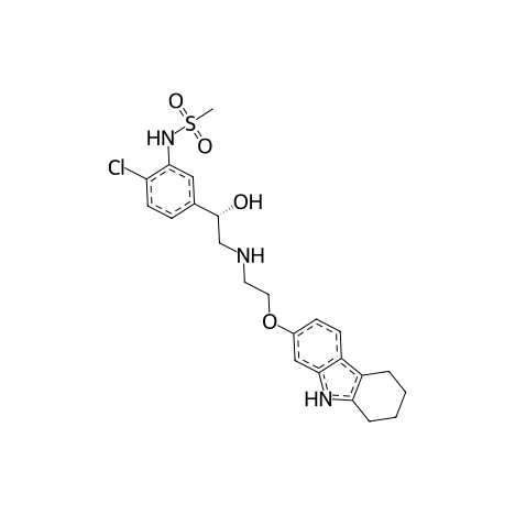 CS(=O)(=O)Nc1cc([C@H](O)CNCCOc2ccc3c4c([nH]c3c2)CCCC4)ccc1Cl